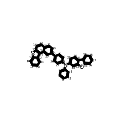 c1ccc(N(c2ccc(-c3ccc4ccc5sc6ccccc6c5c4c3)cc2)c2ccc3c(c2)oc2ccccc23)cc1